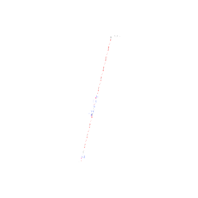 COCCOCCOCCOCCOCCOCCOCCOCCOCCOCCOCCOCCNC(=O)CNCC(=O)NCCN(N)/C=C(\N)COCCOCCOCCOCCOCCOCCOCCCCNC(=O)OC(C)(C)C